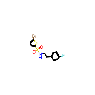 O=S(=O)(NCCc1ccc(F)cc1)c1ccc(Br)s1